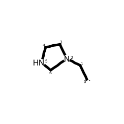 [CH2]CN1CCNC1